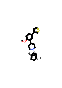 COc1ccc(-c2ccsc2)cc1C1CCN([C@H]2C[C@H]3CC[C@H]2C3)CC1